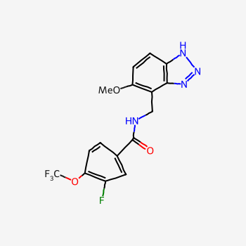 COc1ccc2[nH]nnc2c1CNC(=O)c1ccc(OC(F)(F)F)c(F)c1